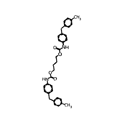 Cc1ccc(Cc2ccc(NC(=O)OCCCCOC(=O)Nc3ccc(Cc4ccc(C)cc4)cc3)cc2)cc1